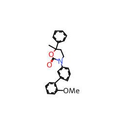 COc1ccccc1-c1cccc(N2CCC(C)(c3ccccc3)OC2=O)c1